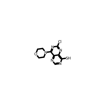 Sc1ncnc2c(N3CCOCC3)nc(Cl)nc12